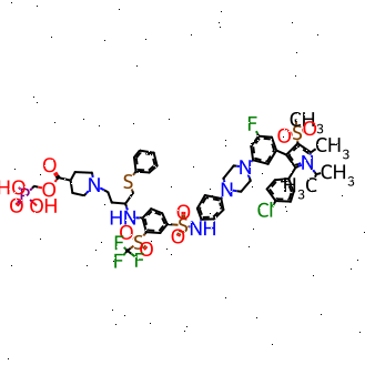 Cc1c(S(C)(=O)=O)c(-c2cc(F)cc(N3CCN(c4ccc(NS(=O)(=O)c5ccc(NC(CCN6CCC(C(=O)OCP(=O)(O)O)CC6)CSc6ccccc6)c(S(=O)(=O)C(F)(F)F)c5)cc4)CC3)c2)c(-c2ccc(Cl)cc2)n1C(C)C